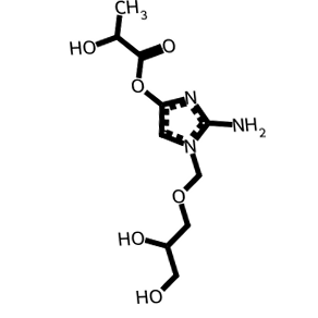 CC(O)C(=O)Oc1cn(COCC(O)CO)c(N)n1